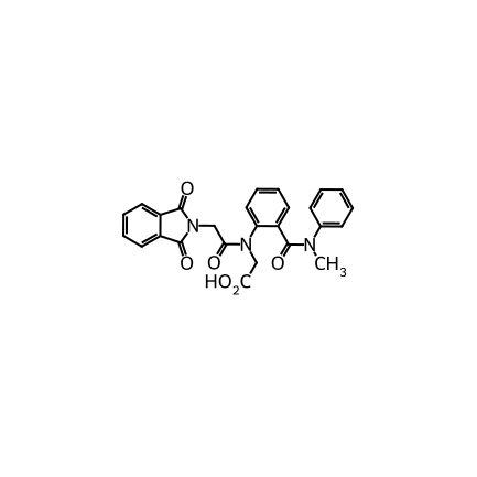 CN(C(=O)c1ccccc1N(CC(=O)O)C(=O)CN1C(=O)c2ccccc2C1=O)c1ccccc1